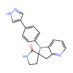 O=C1NCCC12Cc1ncccc1N2c1ccc(-c2cn[nH]c2)cc1